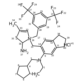 CCN(CC1CCCC1)c1cc2c(cc1C[N+]1(Cc3cc(C(F)(F)F)cc(C(F)(F)F)c3)C=C(C)SC1N)CCC2.Cl